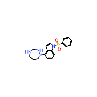 O=S(=O)(c1ccccc1)n1ccc2c(N3CCCNCN3)cccc21